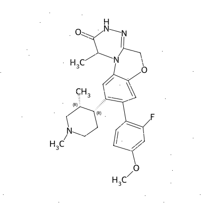 COc1ccc(-c2cc3c(cc2[C@@H]2CCN(C)C[C@@H]2C)N2C(=NNC(=O)C2C)CO3)c(F)c1